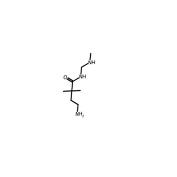 CNCNC(=O)C(C)(C)CCN